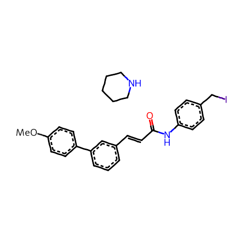 C1CCNCC1.COc1ccc(-c2cccc(C=CC(=O)Nc3ccc(CI)cc3)c2)cc1